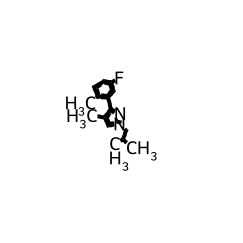 Cc1ccc(F)cc1-c1nn(CC(C)C)cc1C